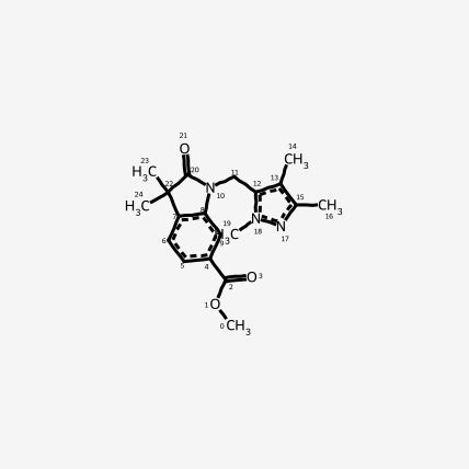 COC(=O)c1ccc2c(c1)N(Cc1c(C)c(C)nn1C)C(=O)C2(C)C